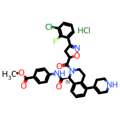 COC(=O)c1ccc(NC(=O)[C@@H]2c3cccc(C4=CCNCC4)c3CCN2C(=O)C2CC(c3cccc(Cl)c3F)=NO2)cc1.Cl